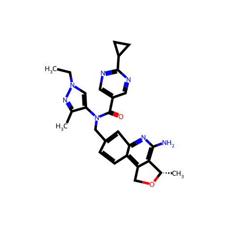 CCn1cc(N(Cc2ccc3c4c(c(N)nc3c2)[C@H](C)OC4)C(=O)c2cnc(C3CC3)nc2)c(C)n1